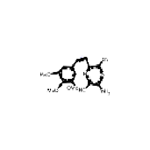 COc1cc(/C=C\c2nc(C#N)c(N)nc2C#N)cc(OC)c1OC